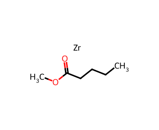 CCCCC(=O)OC.[Zr]